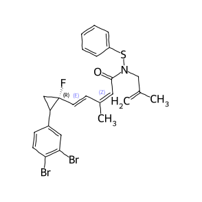 C=C(C)CN(Sc1ccccc1)C(=O)/C=C(C)\C=C\[C@]1(F)CC1c1ccc(Br)c(Br)c1